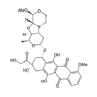 COc1cccc2c1C(=O)c1c(O)c3c(c(O)c1C2=O)C[C@@](O)(C(=O)CO)C[C@@H]3O[C@H]1CC2[C@H](O[C@@H]3[C@@H](OC)OCCN23)[C@H](C)O1